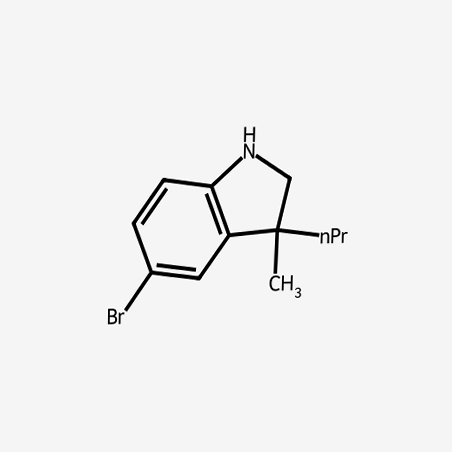 CCCC1(C)CNc2ccc(Br)cc21